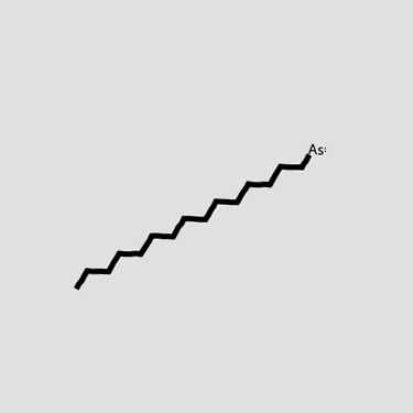 CCCCCCCCCCCCCCC[As]